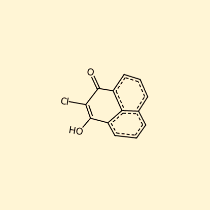 O=C1C(Cl)=C(O)c2cccc3cccc1c23